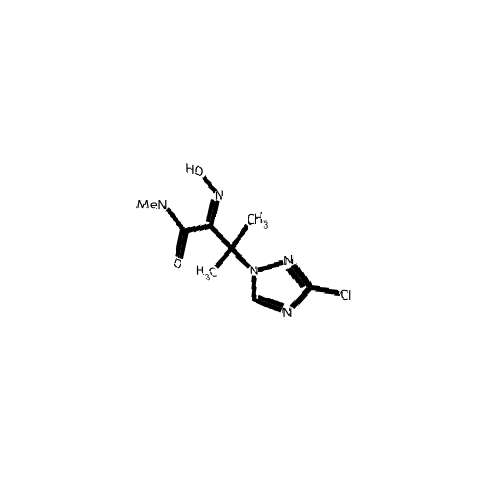 CNC(=O)C(=NO)C(C)(C)n1cnc(Cl)n1